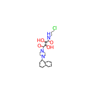 O=C(NCCCCl)[C@H](O)[C@@H](O)C(=O)N1CCN(c2cccc3ccccc23)CC1